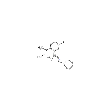 COc1ccc(F)cc1[C@@]1(/N=C/c2ccccc2)C[C@@H]1CO